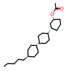 CCCCC[C@H]1CC[C@H](C2CCC([C@H]3CCC[C@@H](OC(C)=O)C3)CC2)CC1